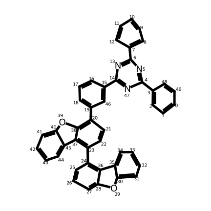 c1ccc(-c2nc(-c3ccccc3)nc(-c3cccc(-c4ccc(-c5cccc6oc7ccccc7c56)c5c4oc4ccccc45)c3)n2)cc1